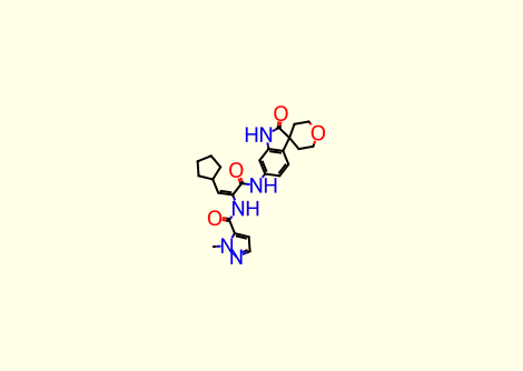 Cn1nccc1C(=O)N/C(=C/C1CCCC1)C(=O)Nc1ccc2c(c1)NC(=O)C21CCOCC1